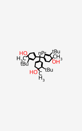 CCCC(C1=CCC(C)(O)C(C(C)(C)C)=C1)(C1=CCC(C)(O)C(C(C)(C)C)=C1)C1=CCC(C)(O)C(C(C)(C)C)=C1